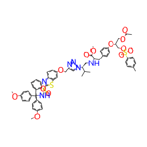 COC(=O)C(Cc1ccc(OC(COC(C)=O)COS(=O)(=O)c2ccc(C)cc2)cc1)NC[C@@H](C(C)C)n1cc(COc2ccc3nc(S(=O)(=O)NC(c4ccccc4)(c4ccc(OC)cc4)c4ccc(OC)cc4)sc3c2)nn1